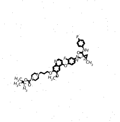 COc1cc2c(Oc3ccc(NC[C@]4(C(=O)Nc5ccc(F)cc5)C[C@H]4C)cc3F)ccnc2cc1OCCCN1CCN(C(=O)OC(C)(C)C)CC1